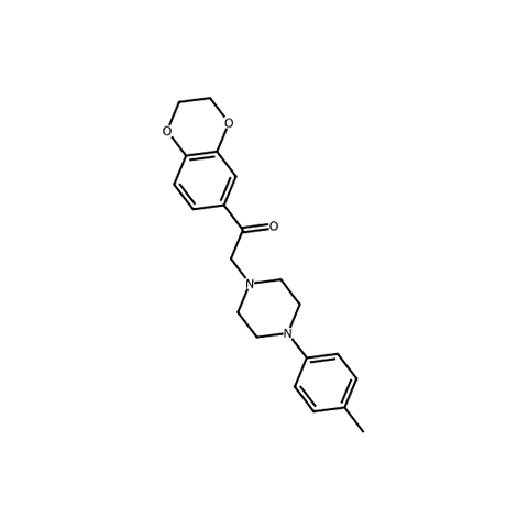 Cc1ccc(N2CCN(CC(=O)c3ccc4c(c3)OCCO4)CC2)cc1